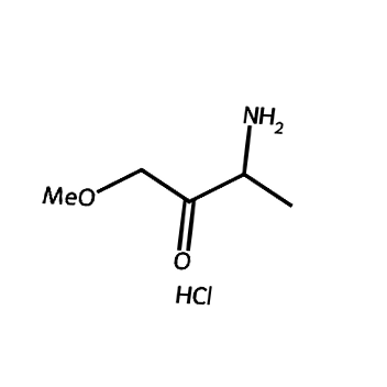 COCC(=O)C(C)N.Cl